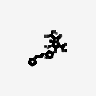 C[C@@H](O)[C@H]1C(=O)N2C(C(=O)O)=C(S[C@@H]3CN[C@H](/C=C/CN4CCCC4)C3)[C@H](C)[C@H]12